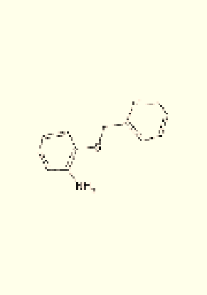 Nc1ccc[c]c1SCc1ccccc1